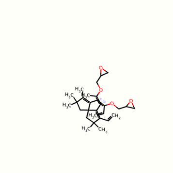 C=CC1=C(/C=C(\C)OCC2CO2)C2(CC(C)(C)C(C)=C2/C=C(\C=C)OCC2CO2)CC1(C)C